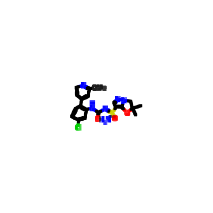 COc1cc(-c2ccc(Cl)cc2NC(=O)N=[S@@](N)(=O)c2cnn3c2OC(C)(C)C3)ccn1